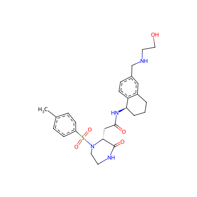 Cc1ccc(S(=O)(=O)N2CCNC(=O)[C@H]2CC(=O)N[C@@H]2CCCc3cc(CNCCO)ccc32)cc1